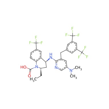 CC[C@@H]1C[C@H](Nc2ncc(N(C)C)cc2Cc2cc(C(F)(F)F)cc(C(F)(F)F)c2)c2cc(C(F)(F)F)ccc2N1C(=O)O